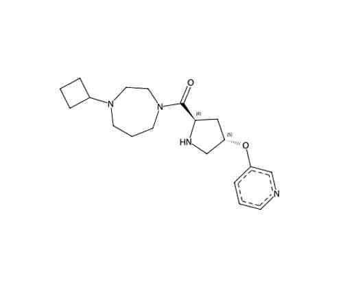 O=C([C@H]1C[C@H](Oc2cccnc2)CN1)N1CCCN(C2CCC2)CC1